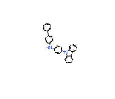 c1ccc(-c2ccc(Nc3ccc(-n4c5ccccc5c5ccccc54)cc3)cc2)cc1